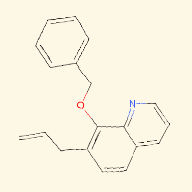 C=CCc1ccc2cccnc2c1OCc1ccccc1